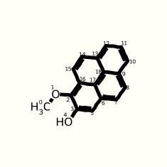 COc1c(O)cc2ccc3cccc4ccc1c2c34